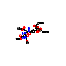 CCOCCNC(=O)C(CCC(=O)OC(C)(C)C)NC(=O)[C@H](CCC(=O)OC(C)(C)C)NC(=O)c1ccc(C(=O)C(CS(=O)(=O)CCOC)CS(=O)(=O)CCOC)cc1